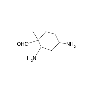 CC1(C=O)CCC(N)CC1N